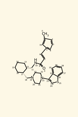 Cc1cccc(/C=C/C(=O)NC[C@H]2CCCC[C@H]2CN2CCN(c3nsc4ccccc34)CC2)c1